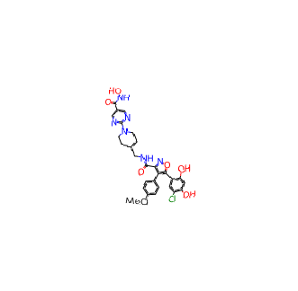 COc1ccc(-c2c(C(=O)NCC3CCN(c4ncc(C(=O)NO)cn4)CC3)noc2-c2cc(Cl)c(O)cc2O)cc1